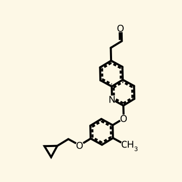 Cc1cc(OCC2CC2)ccc1Oc1ccc2cc(CC=O)ccc2n1